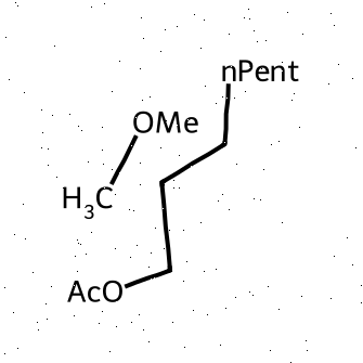 CCCCCCCCOC(C)=O.COC